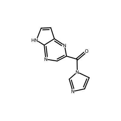 O=C(c1cnc2[nH]ccc2n1)n1ccnc1